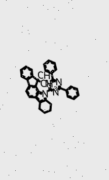 CC1(C)c2ccccc2-c2ccc3c4c(n(-c5nc(-c6ccccc6)nc(-c6ccccc6)n5)c3c21)CCCC4